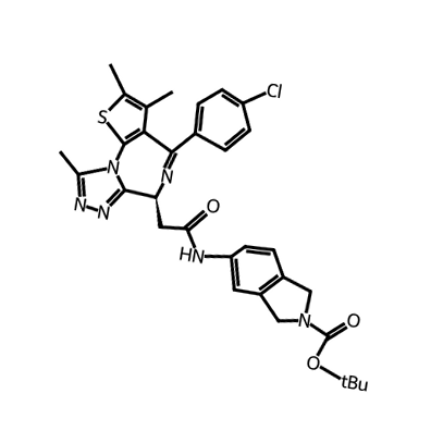 Cc1sc2c(c1C)C(c1ccc(Cl)cc1)=N[C@@H](CC(=O)Nc1ccc3c(c1)CN(C(=O)OC(C)(C)C)C3)c1nnc(C)n1-2